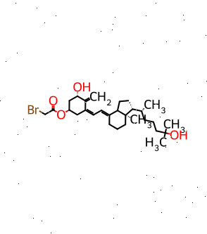 C=C1/C(=C\C=C2/CCC[C@@]3(C)C2CC[C@@H]3[C@H](C)CCCC(C)(C)O)C[C@@H](OC(=O)CBr)C[C@@H]1O